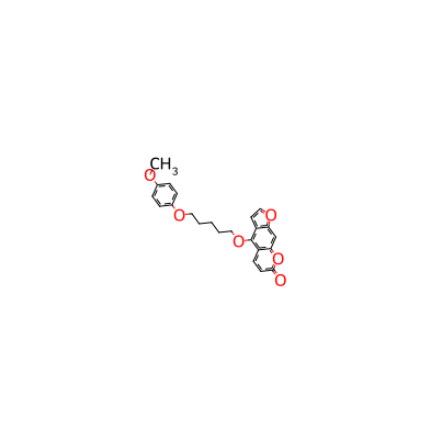 COc1ccc(OCCCCCOc2c3ccoc3cc3oc(=O)ccc23)cc1